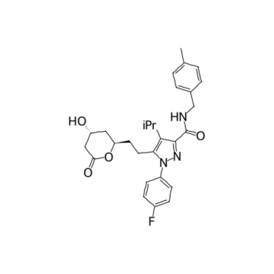 Cc1ccc(CNC(=O)c2nn(-c3ccc(F)cc3)c(CC[C@@H]3C[C@@H](O)CC(=O)O3)c2C(C)C)cc1